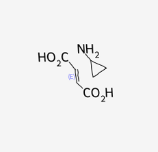 NC1CC1.O=C(O)/C=C/C(=O)O